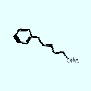 COCCCCCc1cc#ccc1